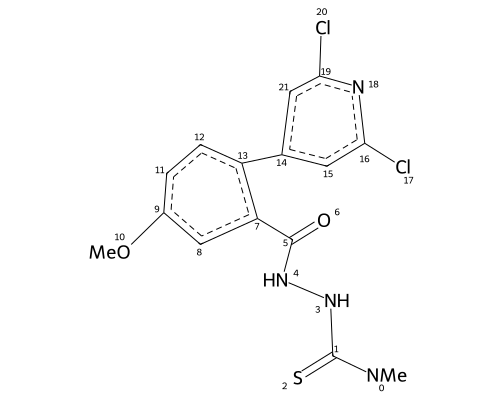 CNC(=S)NNC(=O)c1cc(OC)ccc1-c1cc(Cl)nc(Cl)c1